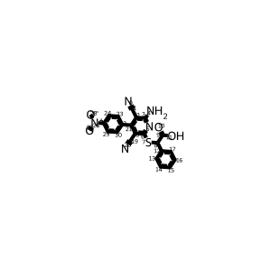 N#Cc1c(N)nc(SC(C(=O)O)c2ccccc2)c(C#N)c1-c1ccc([N+](=O)[O-])cc1